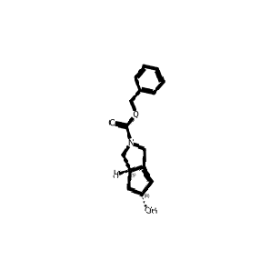 O=C(OCc1ccccc1)N1CC2=C[C@H](O)C[C@@H]2C1